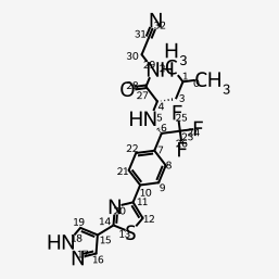 CC(C)C[C@H](N[C@@H](c1ccc(-c2csc(-c3cn[nH]c3)n2)cc1)C(F)(F)F)C(=O)NCC#N